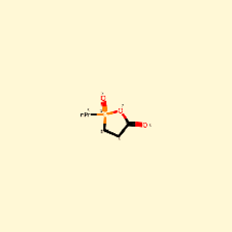 CCCP1(=O)CCC(=O)O1